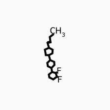 CCC/C=C/C1CCC(C2CCC(C3CCCC(F)C3F)CC2)CC1